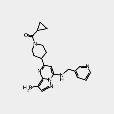 Bc1cnn2c(NCc3cccnc3)cc(C3CCN(C(=O)C4CC4)CC3)nc12